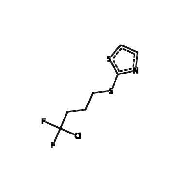 FC(F)(Cl)CCCSc1nccs1